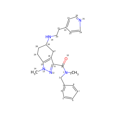 CN(Cc1ccccc1)C(=O)c1nn(C)c2c1CC(NCCc1ccncc1)CC2